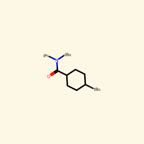 CC(C)N(C(=O)C1CCC(C(C)(C)C)CC1)C(C)(C)C